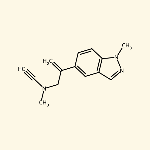 C#CN(C)CC(=C)c1ccc2c(cnn2C)c1